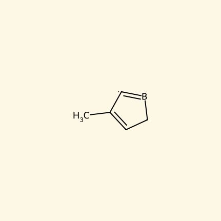 CC1=CCB=[C]1